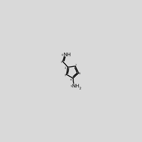 N=CC1=CC(N)=C=C1